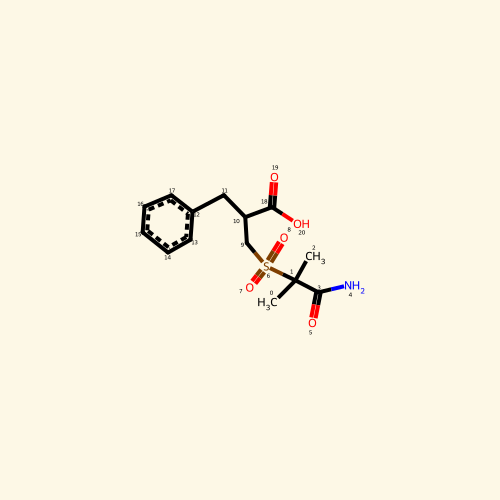 CC(C)(C(N)=O)S(=O)(=O)CC(Cc1ccccc1)C(=O)O